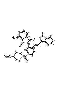 COC1CCN(C(=O)c2ccc(C=Cc3n[nH]c4ccccc34)c(N3C(=O)c4cccc(N)c4C3=O)c2)CC1